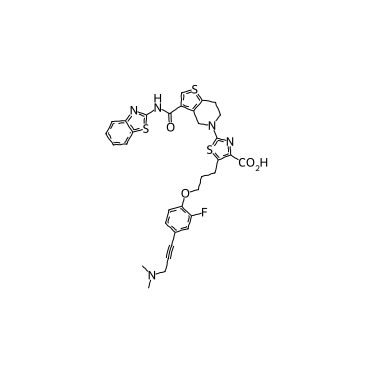 CN(C)CC#Cc1ccc(OCCCc2sc(N3CCc4scc(C(=O)Nc5nc6ccccc6s5)c4C3)nc2C(=O)O)c(F)c1